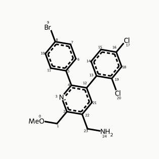 COCc1nc(-c2ccc(Br)cc2)c(-c2ccc(Cl)cc2Cl)cc1CN